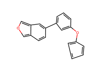 c1ccc(Oc2cccc(-c3ccc4cocc4c3)c2)cc1